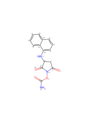 NC(=O)ON1C(=O)CC(Nc2cccc3ccccc23)C1=O